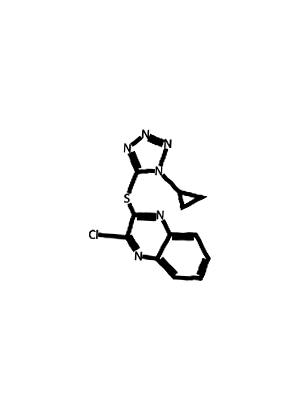 Clc1nc2ccccc2nc1Sc1nnnn1C1CC1